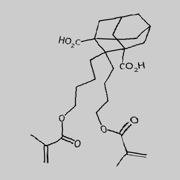 C=C(C)C(=O)OCCCCC1(CCCCOC(=O)C(=C)C)C2(C(=O)O)CC3CC(C2)CC1(C(=O)O)C3